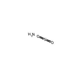 N.O=[Si]=O